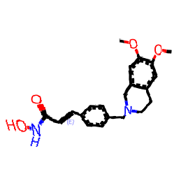 COc1cc2c(cc1OC)CN(Cc1ccc(/C=C/C(=O)NO)cc1)CC2